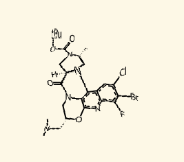 C[C@@H]1CN2c3c4c(nc5c(F)c(Br)c(Cl)cc35)O[C@H](CN(C)C)CN4C(=O)[C@H]2CN1C(=O)OC(C)(C)C